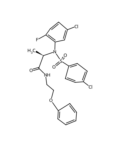 C[C@H](C(=O)NCCOc1ccccc1)N(c1cc(Cl)ccc1F)S(=O)(=O)c1ccc(Cl)cc1